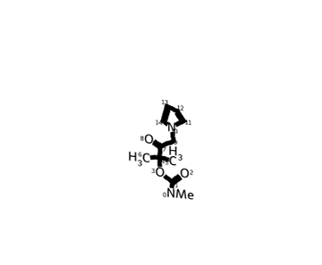 CNC(=O)OC(C)(C)C(=O)Cn1cccc1